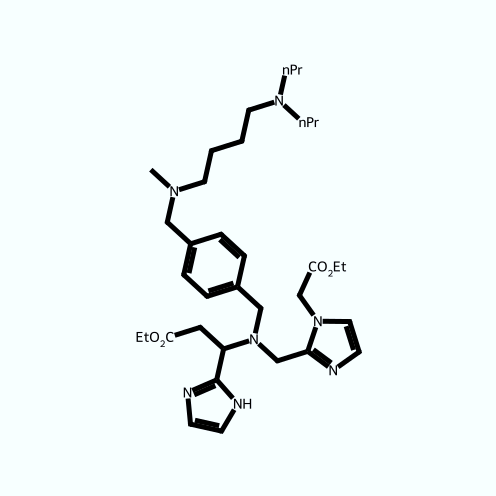 CCCN(CCC)CCCCN(C)Cc1ccc(CN(Cc2nccn2CC(=O)OCC)C(CC(=O)OCC)c2ncc[nH]2)cc1